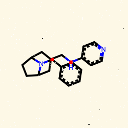 c1ccc(CN2C3CCC2CC(CNc2ccncc2)C3)cc1